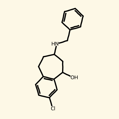 OC1CC(NCc2ccccc2)CCc2ccc(Cl)cc21